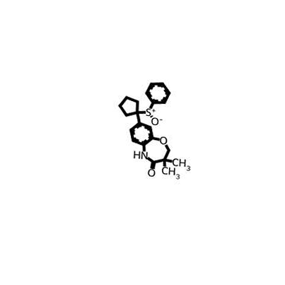 CC1(C)COc2cc(C3([S+]([O-])c4ccccc4)CCCC3)ccc2NC1=O